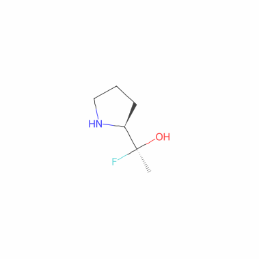 C[C@](O)(F)[C@@H]1CCCN1